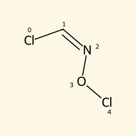 Cl/C=N\OCl